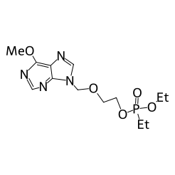 CCOP(=O)(CC)OCCOCn1cnc2c(OC)ncnc21